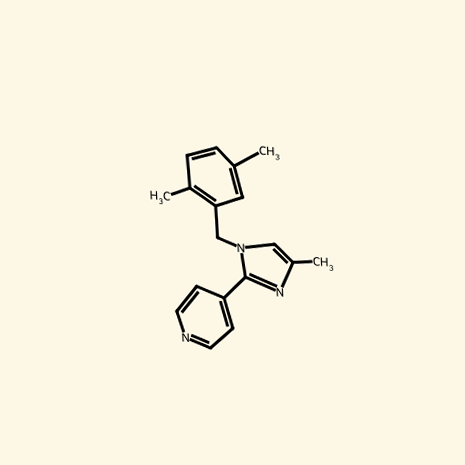 Cc1ccc(C)c(Cn2cc(C)nc2-c2ccncc2)c1